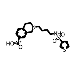 O=[N+](O)c1ccc2c(c1)CN(CCCCNS(=O)(=O)c1ccsc1)CC2